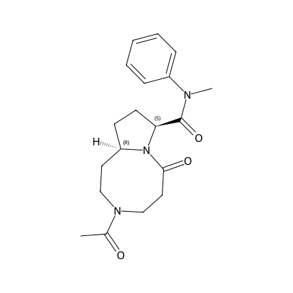 CC(=O)N1CCC(=O)N2[C@H](CC[C@H]2C(=O)N(C)c2ccccc2)CC1